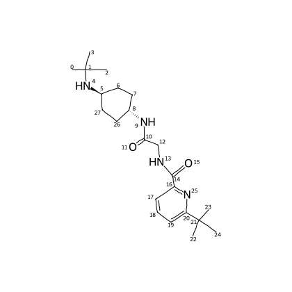 CC(C)(C)N[C@H]1CC[C@H](NC(=O)CNC(=O)c2cccc(C(C)(C)C)n2)CC1